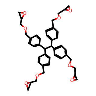 c1cc(C(c2ccc(COCC3CO3)cc2)C(c2ccc(COCC3CO3)cc2)c2ccc(COCC3CO3)cc2)ccc1COCC1CO1